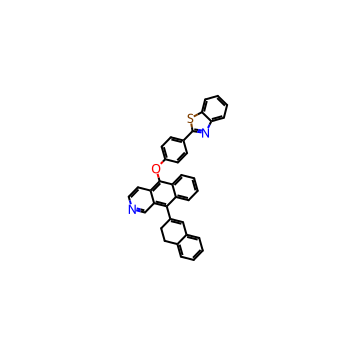 C1=C(c2c3ccccc3c(Oc3ccc(-c4nc5ccccc5s4)cc3)c3ccncc23)CCc2ccccc21